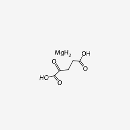 O=C(O)CCC(=O)C(=O)O.[MgH2]